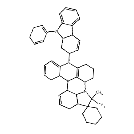 CC1(C)N2C3CCCC4=C3B(C3CC=CC=C3N4C3C=CC4c5ccccc5N(C5=CCCC=C5)C4C3)C3C=CCC(C32)C12CCCCC2